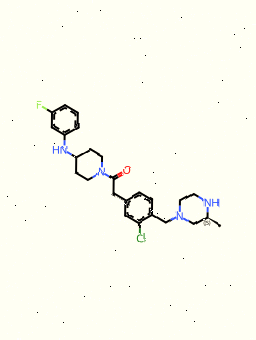 C[C@H]1CN(Cc2ccc(CC(=O)N3CCC(Nc4cccc(F)c4)CC3)cc2Cl)CCN1